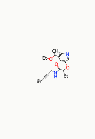 C=C(OCC)c1cncc(OC(CC)C(=O)NCC#CC(C)C)c1